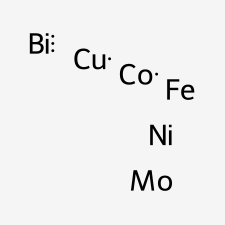 [Bi].[Co].[Cu].[Fe].[Mo].[Ni]